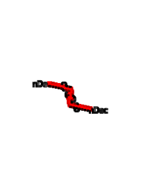 CCCCCCCCCCCCCCCCCCCC(=O)OCCC(C)CCCC(C)(C)C1=CC(=O)C(C(C)(C)CCCC(C)CCOC(=O)CCCCCCCCCCCCCCCCCCC)=CC1=O